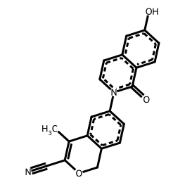 CC1=C(C#N)OCc2ccc(-n3ccc4cc(O)ccc4c3=O)cc21